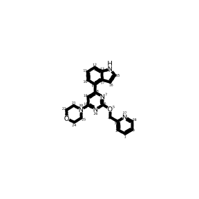 c1ccc(COc2nc(-c3cccc4[nH]ccc34)cc(N3CCOCC3)n2)nc1